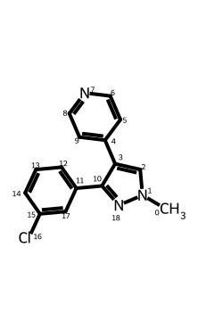 Cn1cc(-c2ccncc2)c(-c2cccc(Cl)c2)n1